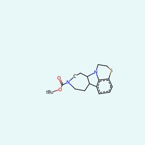 CC(C)(C)OC(=O)N1CCC2c3cccc4c3N(CCS4)C2CC1